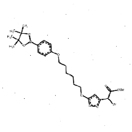 COC(=O)C(c1cc(OCCCCCCOc2ccc(B3OC(C)(C)C(C)(C)O3)cc2)no1)C(C)C